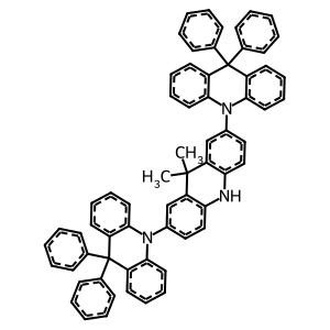 CC1(C)c2cc(N3c4ccccc4C(c4ccccc4)(c4ccccc4)c4ccccc43)ccc2Nc2ccc(N3c4ccccc4C(c4ccccc4)(c4ccccc4)c4ccccc43)cc21